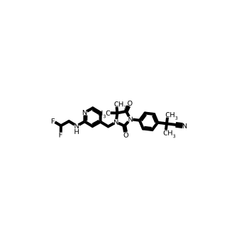 CC(C)(C#N)c1ccc(N2C(=O)N(Cc3ccnc(NCC(F)F)c3)C(C)(C)C2=O)cc1